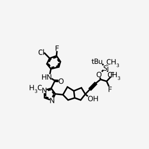 Cn1cnc(C2CC3CC(O)(C#CC(O[Si](C)(C)C(C)(C)C)C(F)F)CC3C2)c1C(=O)Nc1ccc(F)c(Cl)c1